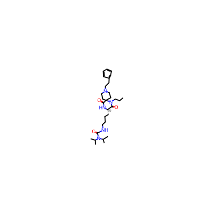 CCCN1C(=O)[C@H](CCCCNC(=O)N(C(C)C)C(C)C)NC(=O)C12CCN(CCc1ccccc1)CC2